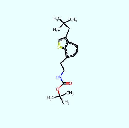 CC(C)(C)Cc1csc2c(CCNC(=O)OC(C)(C)C)cccc12